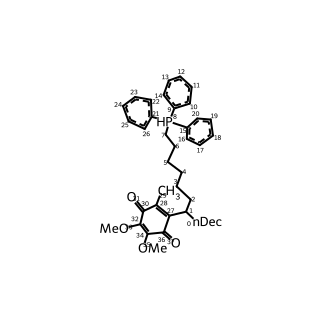 CCCCCCCCCCC(CCCCCC[PH](c1ccccc1)(c1ccccc1)c1ccccc1)C1=C(C)C(=O)C(OC)=C(OC)C1=O